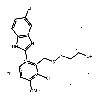 COc1cc[n+](-c2nc3cc(C(F)(F)F)ccc3[nH]2)c(CSSCCO)c1C.[Cl-]